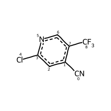 N#Cc1cc(Cl)ncc1C(F)(F)F